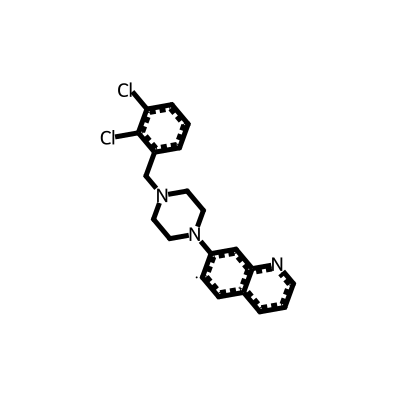 Clc1cccc(CN2CCN(c3[c]cc4cccnc4c3)CC2)c1Cl